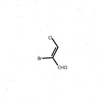 O=CC(Br)=CCl